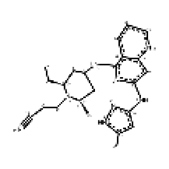 CC[C@H]1CC(Nc2nc(Nc3cc(C)[nH]n3)cc3ncccc23)C[C@@H](C)N1CCC#N